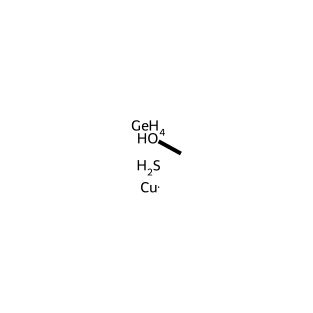 CO.S.[Cu].[GeH4]